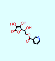 O=C1O[C@H]([C@@H](O)COC(=O)c2cccnc2)C(O)=C1O